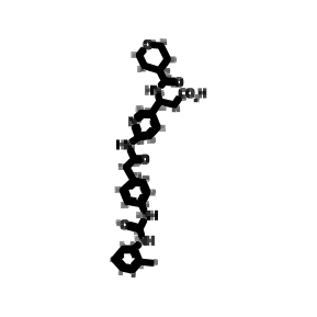 Cc1ccccc1NC(=O)Nc1ccc(CC(=O)Nc2ccc(C(CC(=O)O)NC(=O)C3CCOCC3)cn2)cc1